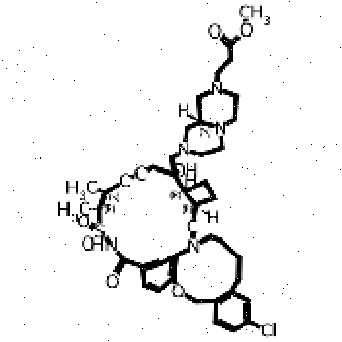 COC(=O)CCN1CCN2CCN(CC3(O)CCC[C@H](C)[C@@H](C)S(=O)(=O)NC(=O)c4ccc5c(c4)N(CCCCc4cc(Cl)ccc4CO5)C[C@@H]4CC[C@H]43)C[C@@H]2C1